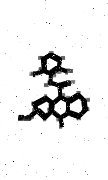 COc1ccc2c(c1)N(C)c1ccccc1C2C(=O)Oc1c(F)cccc1F